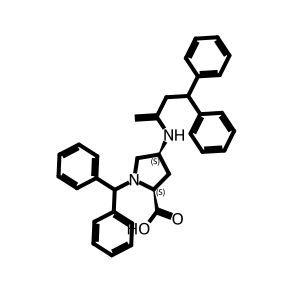 C=C(CC(c1ccccc1)c1ccccc1)N[C@H]1C[C@@H](C(=O)O)N(C(c2ccccc2)c2ccccc2)C1